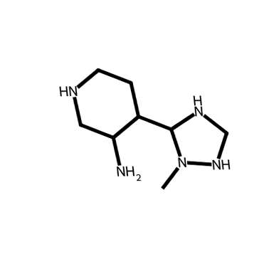 CN1NCNC1C1CCNCC1N